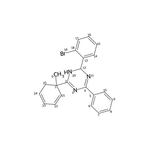 CC1(C2=NC(c3ccccc3)=NC(c3ccccc3Br)N2)C=CC=CC1